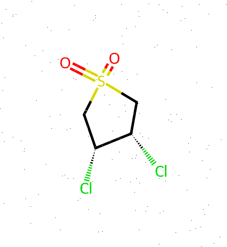 O=S1(=O)C[C@@H](Cl)[C@@H](Cl)C1